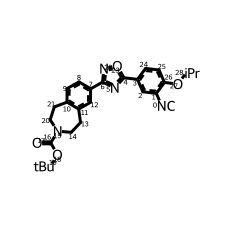 [C-]#[N+]c1cc(-c2nc(-c3ccc4c(c3)CCN(C(=O)OC(C)(C)C)CC4)no2)ccc1OC(C)C